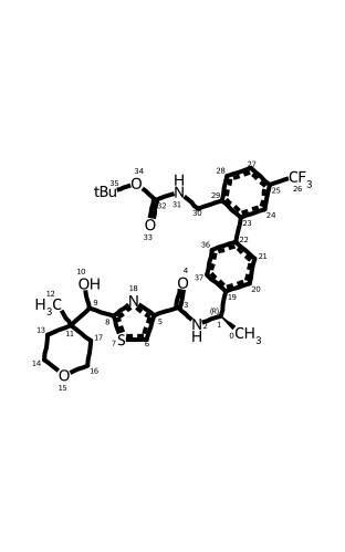 C[C@@H](NC(=O)c1csc(C(O)C2(C)CCOCC2)n1)c1ccc(-c2cc(C(F)(F)F)ccc2CNC(=O)OC(C)(C)C)cc1